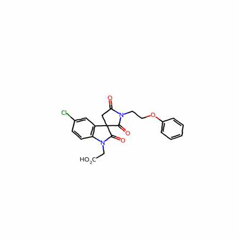 O=C(O)CN1C(=O)C2(CC(=O)N(CCOc3ccccc3)C2=O)c2cc(Cl)ccc21